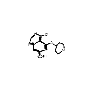 Oc1cc(OC2CCOCC2)c2c(Cl)ncnc2c1